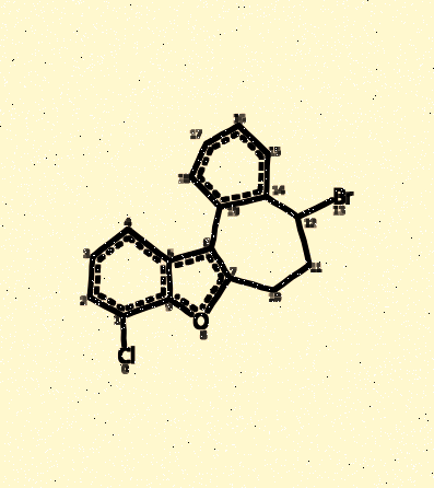 Clc1cccc2c3c(oc12)CCC(Br)c1ccccc1-3